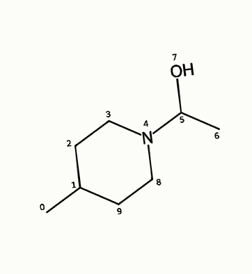 CC1CCN(C(C)O)CC1